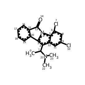 CC(c1c2n(c3c(Cl)cc(Cl)cc13)C(=O)c1ccccc1-2)N(C)C